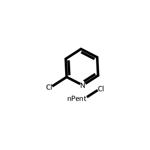 CCCCCCl.Clc1ccccn1